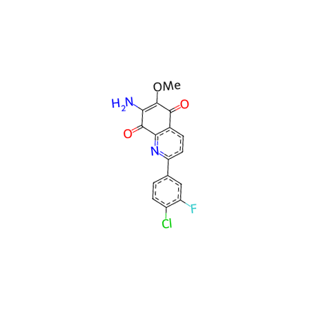 COC1=C(N)C(=O)c2nc(-c3ccc(Cl)c(F)c3)ccc2C1=O